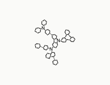 c1ccc(-c2ccc(N(c3ccc4c(c3)c3cc(-c5ccc(N(c6ccccc6)c6ccccc6)cc5)ccc3n4-c3ccc4c5ccccc5c5ccccc5c4c3)c3ccc(-c4ccccc4)c4ccccc34)cc2)cc1